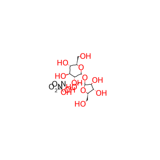 O=[N+]([O-])O.O=[N+]([O-])O.OC[C@H]1O[C@@](CO)(O[C@H]2O[C@H](CO)[C@@H](O)[C@H](O)[C@H]2O)[C@@H](O)[C@@H]1O